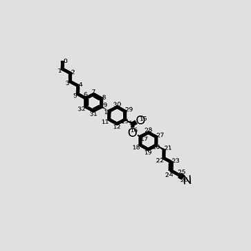 CCCCCCc1ccc([C@H]2CC[C@H](C(=O)O[C@H]3CC[C@H](CCC=CC#N)CC3)CC2)cc1